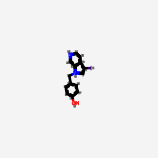 Oc1ccc(Cn2cc(I)c3ccncc32)cc1